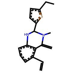 C=Cc1cccc2c1C(=C)N(C)C(c1ccc(CC)s1)N2